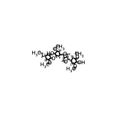 CCCc1ccc(Oc2cc(C3OCC4C(c5cc(OC)c(O)c(OC)c5)OCC34)cc(OC)c2O)c(OC)c1